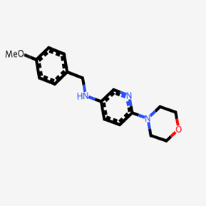 COc1ccc(CNc2ccc(N3CCOCC3)nc2)cc1